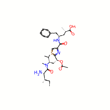 CC[C@H](C)[C@H](N)C(=O)N(C)[C@H](C[C@@H](OC(C)=O)c1nc(C(=O)N[C@@H](Cc2ccccc2)C[C@H](C)C(=O)O)cs1)C(C)C